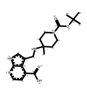 CC1(NCc2c[nH]c3nccc(C(=O)O)c23)CCN(C(=O)OC(C)(C)C)CC1